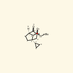 CC(C)(C)OC(=O)N1[C@H]2CC[C@]1(C1CC1)CNC2=O